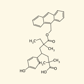 CCC(C)(CC(CC(C)(C)C(=O)O)c1ccc(O)cc1)C(=O)OCc1c2ccccc2cc2ccccc12